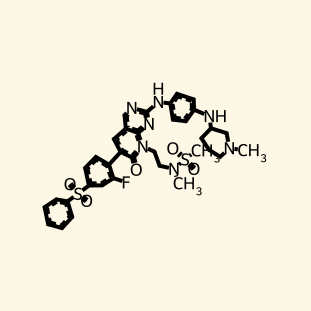 CN1CCCC(Nc2ccc(Nc3ncc4cc(-c5ccc(S(=O)(=O)c6ccccc6)cc5F)c(=O)n(CCN(C)S(C)(=O)=O)c4n3)cc2)C1